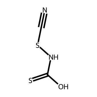 N#CSNC(O)=S